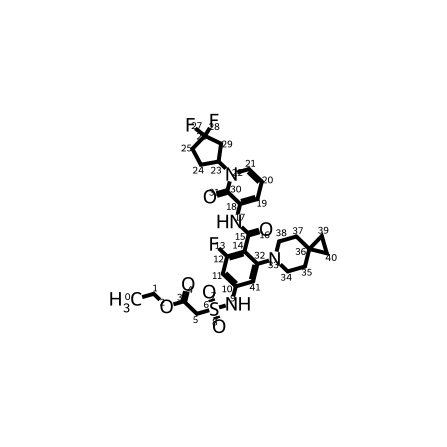 CCOC(=O)CS(=O)(=O)Nc1cc(F)c(C(=O)Nc2cccn(C3CCC(F)(F)C3)c2=O)c(N2CCC3(CC2)CC3)c1